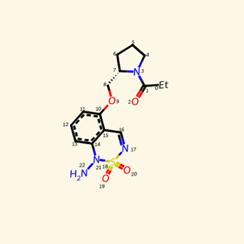 CCC(=O)N1CCC[C@H]1COc1cccc2c1C=NS(=O)(=O)N2N